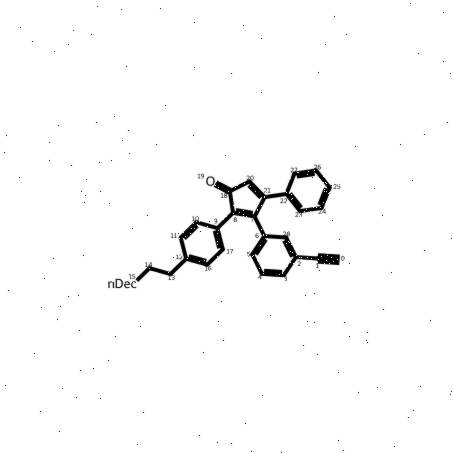 C#Cc1cccc(C2=C(c3ccc(CCCCCCCCCCCC)cc3)C(=O)C=C2c2ccccc2)c1